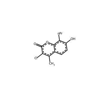 CCCc1c(O)ccc2c(C)c(Cl)c(=O)oc12